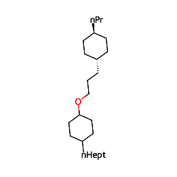 CCCCCCCC1CCC(OCCC[C@H]2CC[C@H](CCC)CC2)CC1